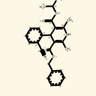 CC1=C(C(=O)OCc2ccccc2)C(c2ccccc2C#N)C(C(=O)OC(C)C)=C(C)N1